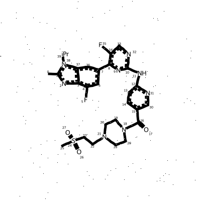 Cc1nc2c(F)cc(-c3nc(Nc4ccc(C(=O)N5CCN(CCS(C)(=O)=O)CC5)cn4)ncc3F)cc2n1C(C)C